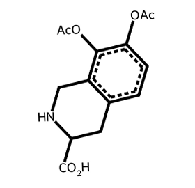 CC(=O)Oc1ccc2c(c1OC(C)=O)CNC(C(=O)O)C2